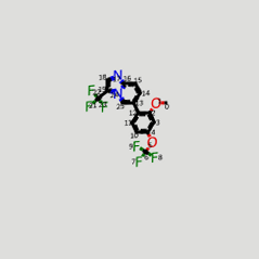 COc1cc(OC(F)(F)F)ccc1-c1ccc2ncc(C(F)(F)F)n2c1